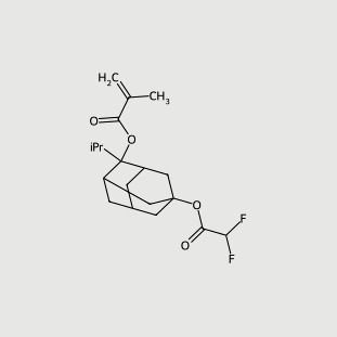 C=C(C)C(=O)OC1(C(C)C)C2CC3CC1CC(OC(=O)C(F)F)(C3)C2